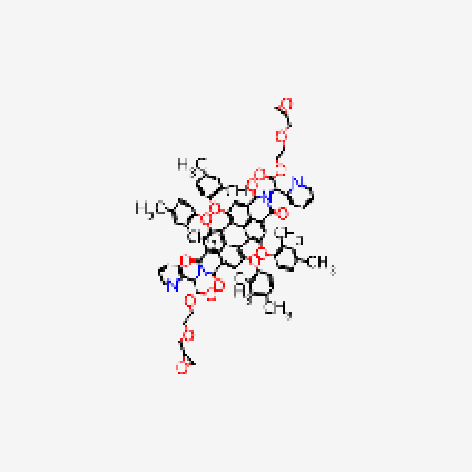 Cc1ccc(Oc2cc3c4c(cc(Oc5ccc(C)cc5C)c5c6c(Oc7ccc(C)cc7C)cc7c8c(cc(Oc9ccc(C)cc9C)c(c2c45)c86)C(=O)N(C(C(=O)OCCOCC2CO2)c2ccccn2)C7=O)C(=O)N(C(C(=O)OCCOCC2CO2)c2ccccn2)C3=O)c(C)c1